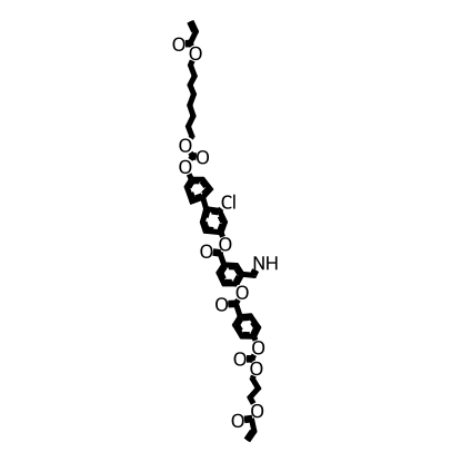 C=CC(=O)OCCCCCCCCOC(=O)Oc1ccc(-c2ccc(OC(=O)c3ccc(OC(=O)c4ccc(OC(=O)OCCCOC(=O)C=C)cc4)c(C=N)c3)cc2Cl)cc1